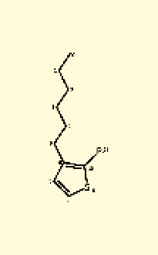 CCCCCCc1ccsc1[P]